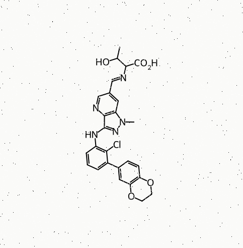 CC(O)C(N=Cc1cnc2c(Nc3cccc(-c4ccc5c(c4)OCCO5)c3Cl)nn(C)c2c1)C(=O)O